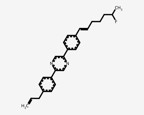 C=CCc1ccc(-c2cnc(-c3ccc(C=CCCCC(C)F)cc3)cn2)cc1